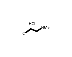 CNCCCl.Cl